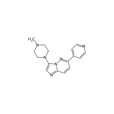 CN1CCN(c2cnc3ccc(-c4ccncc4)nn23)CC1